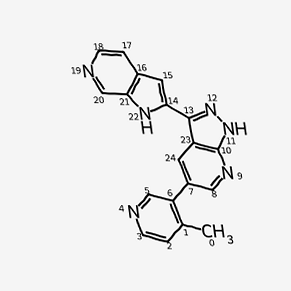 Cc1ccncc1-c1cnc2[nH]nc(-c3cc4ccncc4[nH]3)c2c1